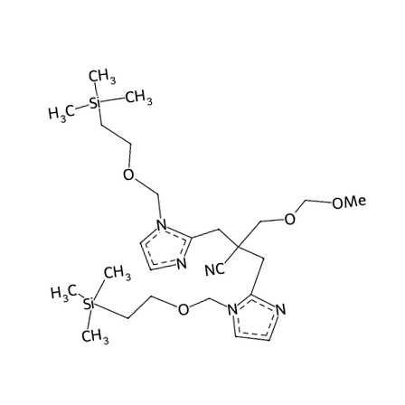 COCOCC(C#N)(Cc1nccn1COCC[Si](C)(C)C)Cc1nccn1COCC[Si](C)(C)C